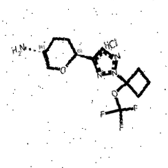 Cl.N[C@@H]1CC[C@@H](c2cnn(C3(OC(F)(F)F)CCC3)n2)OC1